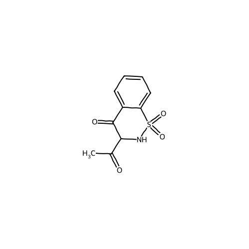 CC(=O)C1NS(=O)(=O)c2ccccc2C1=O